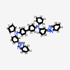 C1=CC(N(c2ccccc2)c2ccc(-c3ccc(N(c4ccccc4)c4cccc(-n5nc6ccccc6n5)c4)cc3)cc2)=CC(n2nc3ccccc3n2)C1